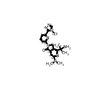 CCn1cnnc1-c1cccc(N2Cc3c(cc(N(C)C)nc3C(C)(C)N)C2=O)n1